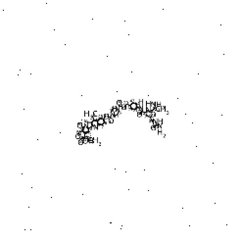 CCc1c2c(nc3ccc(OC(=O)N4CCN(C(=O)OCc5ccc(NC(=O)[C@H](CCCNC(N)=O)NC(=O)[C@H](C)N)cc5)CC4)cc13)-c1cc3c(c(=O)n1C2)COC(=O)[C@]3(O)CC